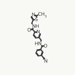 Cc1ncc(CNC(=O)c2ccc(CNC(=O)c3cccc(C#N)c3)cn2)s1